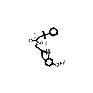 C[C@@H](C(=O)NCC1Cc2ccc(O)cc2N1)C(C)(C)c1ccccc1